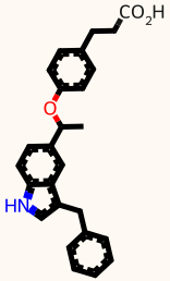 CC(Oc1ccc(CCC(=O)O)cc1)c1ccc2[nH]cc(Cc3ccccc3)c2c1